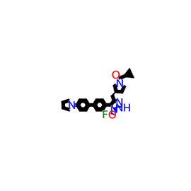 O=C(C1CC1)N1CC[C@@H](CC2=NN[N+](=O)C2c2ccc(-c3ccc(N4CCCC4)cc3)cc2F)C1